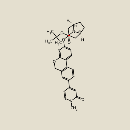 Cn1ncc(-c2ccc3c(c2)COc2nc(OC4C[C@H]5CC[C@@H](C4)N5C(=O)OC(C)(C)C)ccc2-3)cc1=O